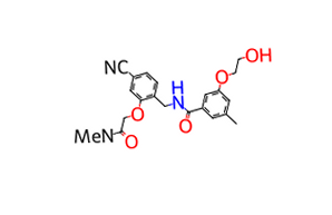 CNC(=O)COc1cc(C#N)ccc1CNC(=O)c1cc(C)cc(OCCO)c1